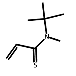 C=CC(=S)N(C)C(C)(C)C